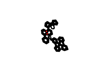 c1ccc(-c2ccccc2N(c2ccc(-c3cccc4c3oc3ccccc34)cc2)c2ccc3c(c2)-c2ccccc2C32c3ccccc3-c3ccccc32)cc1